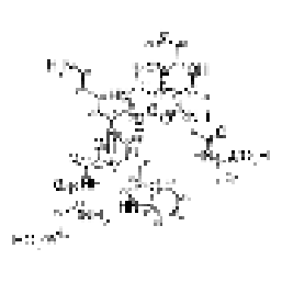 CC(C)[C@H](NC(=O)CNC(=O)[C@@H](NC(=O)[C@H](Cc1ccccc1)NC(=O)[C@H](CCCCN)NC(=O)[C@H](Cc1c[nH]c2ccccc12)NC(=O)[C@H](C)NC(=O)[C@@H](N)CCC(=O)O)[C@@H](C)O)C(=O)O